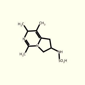 CC1=NC(C)C(C)=C2CC(NS(=O)(=O)O)CN12